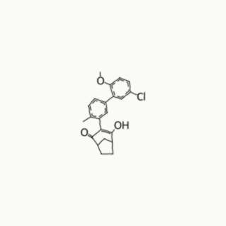 COc1ccc(Cl)cc1-c1ccc(C)c(C2=C(O)C3CCC(C3)C2=O)c1